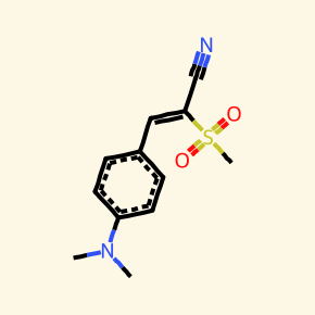 CN(C)c1ccc(C=C(C#N)S(C)(=O)=O)cc1